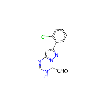 O=CC1NC=Nc2cc(-c3ccccc3Cl)nn21